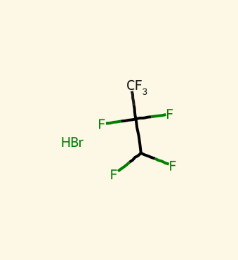 Br.FC(F)C(F)(F)C(F)(F)F